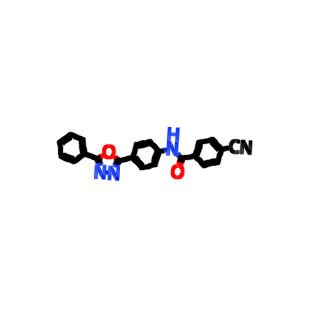 N#Cc1ccc(C(=O)Nc2ccc(-c3nnc(-c4ccccc4)o3)cc2)cc1